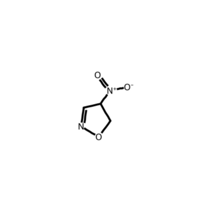 O=[N+]([O-])C1C=NOC1